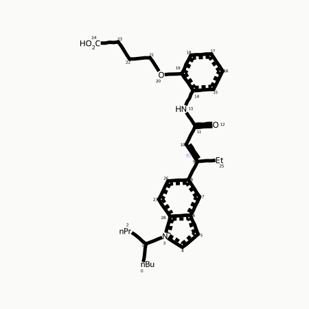 CCCCC(CCC)n1ccc2cc(/C(=C/C(=O)Nc3ccccc3OCCCC(=O)O)CC)ccc21